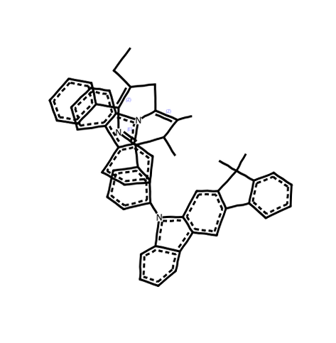 CC/C1=C(c2ccccc2)/N=C(/c2cccc(-n3c4ccccc4c4cc5c(cc43)C(C)(C)c3ccccc3-5)c2)C(C)/C(C)=C(\n2c3ccccc3c3ccccc32)C1